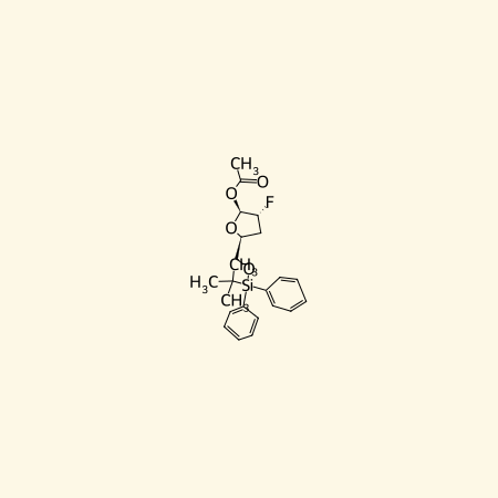 CC(=O)O[C@@H]1O[C@H](CO[Si](c2ccccc2)(c2ccccc2)C(C)(C)C)C[C@H]1F